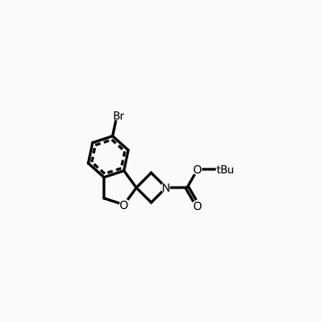 CC(C)(C)OC(=O)N1CC2(C1)OCc1ccc(Br)cc12